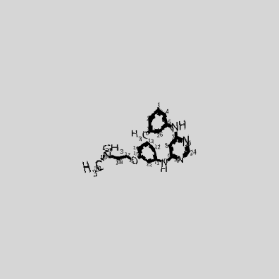 Cc1cccc(Nc2cc(Nc3cccc(OCCN(C)C)c3)ncn2)c1